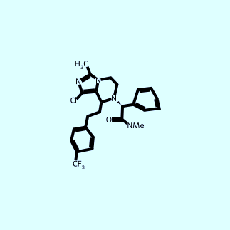 CNC(=O)[C@@H](c1ccccc1)N1CCn2c(C)nc(Cl)c2C1CCc1ccc(C(F)(F)F)cc1